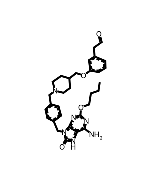 CCCCOc1nc(N)c2[nH]c(=O)n(Cc3ccc(CN4CCC(COc5cccc(CC=O)c5)CC4)cc3)c2n1